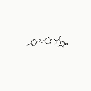 Cc1n[nH]cc1C(=O)NCC1CC[C@@H](COc2ccc(Cl)cc2)CO1